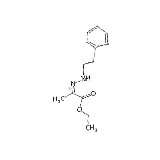 CCOC(=O)/C(C)=N\NCCc1ccccc1